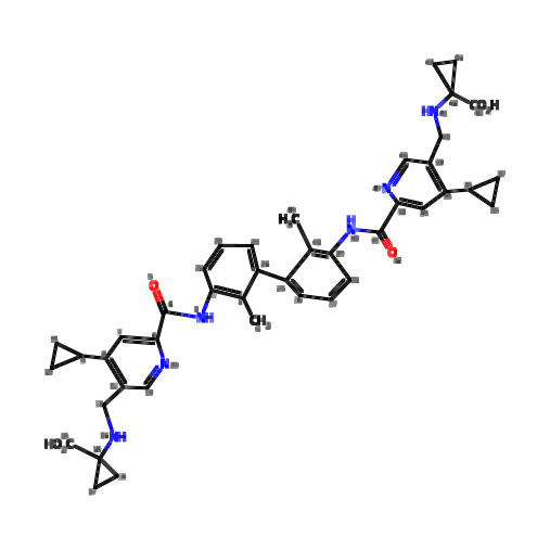 Cc1c(NC(=O)c2cc(C3CC3)c(CNC3(C(=O)O)CC3)cn2)cccc1-c1cccc(NC(=O)c2cc(C3CC3)c(CNC3(C(=O)O)CC3)cn2)c1C